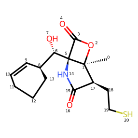 C[C@@]12OC(=O)[C@]1([C@@H](O)[C@@H]1C=CCCC1)NC(=O)[C@@H]2CCS